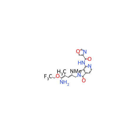 CN/C(=C\C(C)=C(/N)OCC(F)(F)F)CN1Cc2c(ccnc2NC(=O)c2cocn2)C1=O